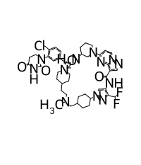 CN(CCC1CCN(C(=O)c2ccc(Cl)c(N3CCC(=O)NC3=O)c2)CC1)CC1CCC(n2cc(NC(=O)c3cnn4ccc(N5CCC[C@H](N)C5)nc34)c(C(F)F)n2)CC1